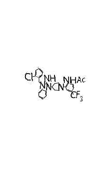 CC(=O)Nc1ccc(C(F)(F)F)cc1N1CCC(n2c(=N)n(Cc3ccccc3Cl)c3ccccc32)CC1